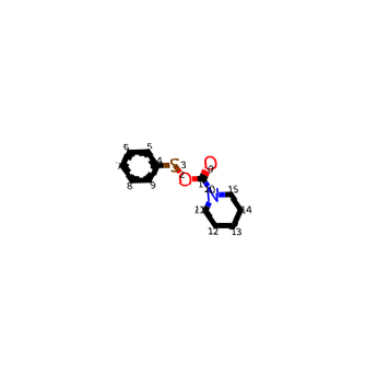 O=C(OSc1ccccc1)N1CCCCC1